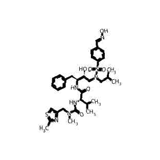 Cc1nc(CN(C)C(=O)N[C@H](C(=O)N[C@@H](Cc2ccccc2)[C@H](O)CN(CC(C)C)S(=O)(=O)c2ccc(C=NO)cc2)C(C)C)cs1